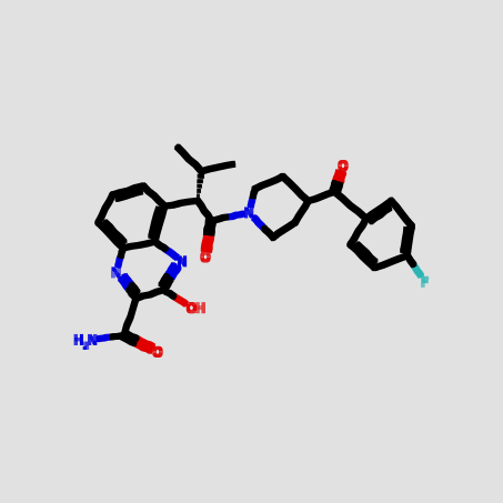 CC(C)[C@H](C(=O)N1CCC(C(=O)c2ccc(F)cc2)CC1)c1cccc2nc(C(N)=O)c(O)nc12